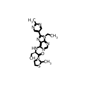 CC[C@@H](Nc1ncnc2c1nc(-c1cnc(C)nc1)n2CC)C(=O)N1CCSC1C